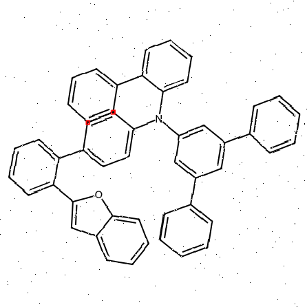 c1ccc(-c2cc(-c3ccccc3)cc(N(c3ccc(-c4ccccc4-c4cc5ccccc5o4)cc3)c3ccccc3-c3ccccc3)c2)cc1